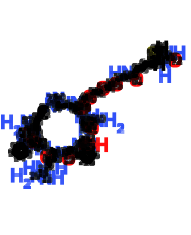 Cn1cc(C[C@@H]2NC(=O)[C@@H](CCCNC(=N)N)NC(=O)[C@@H](Cc3ccccc3)NC(=O)[C@@H](CO)NC(=O)[C@@H](CC(N)=O)NC(=O)[C@@H](NC(=O)COCCOCCOCCNC(=O)CCCCC3SC[C@@H]4NC(=O)N[C@H]34)Cc3cn(nn3)CCCC[C@@H](C(N)=O)NC2=O)c2ccccc21